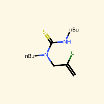 C=C(Cl)CN(CCCC)C(=S)NCCCC